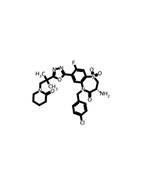 CC(C)(CN1CCCCC1=O)c1nnc(-c2cc3c(cc2F)S(=O)(=O)C[C@H](N)C(=O)N3Cc2ccc(Cl)cc2)o1